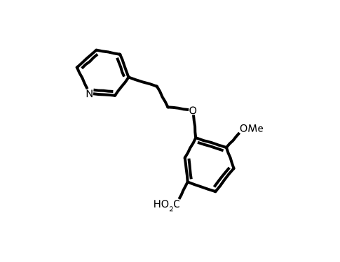 COc1ccc(C(=O)O)cc1OCCc1cccnc1